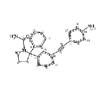 NC(=O)N1OCCC1(c1ccccc1)c1cccc(C#Cc2cnc(N)nc2)c1